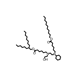 CCCCCCCCCCCOC(=O)CCCCCN(CCN(CCO)CCCCCC(=O)OCC(CCCCCC)CCCCCCCC)C1CCCCC1